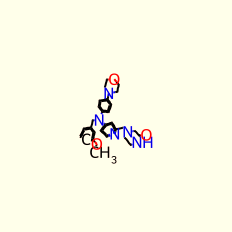 COc1cccc(CN(c2ccc(N3CCOCC3)cc2)c2ccnc(CN3CCNC(=O)C3)c2)c1